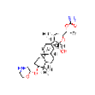 CC(C)[C@@H](OC(N)=O)[C@H]1C[C@@H](C)[C@H]2[C@H](O1)[C@H](O)[C@@]1(C)[C@@H]3CC[C@H]4C(C)(C)[C@@H](O[C@H]5CNCCO5)CC[C@@]45CC35CC[C@]21C